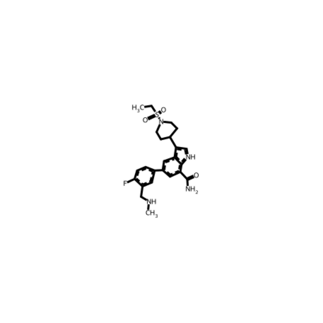 CCS(=O)(=O)N1CCC(c2c[nH]c3c(C(N)=O)cc(-c4ccc(F)c(CNC)c4)cc23)CC1